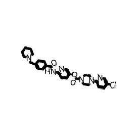 O=C(Nc1ccc(OC(=O)N2CCN(c3ccc(Cl)cn3)CC2)cn1)c1ccc(CN2CCCCC2)cc1